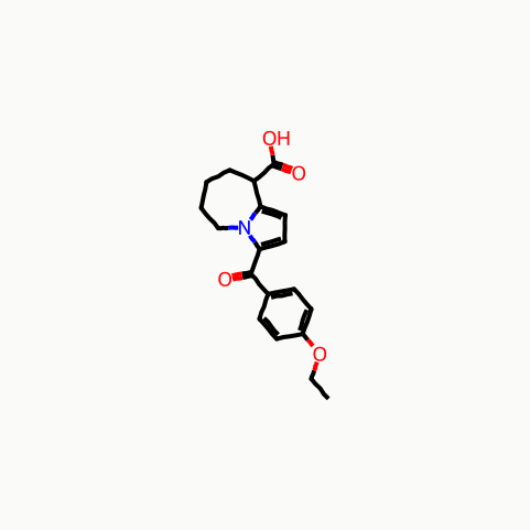 CCOc1ccc(C(=O)c2ccc3n2CCCCC3C(=O)O)cc1